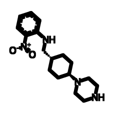 O=[N+]([O-])c1ccccc1NC[C@H]1CC[C@H](N2CCNCC2)CC1